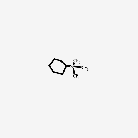 FC(F)(F)[Si](C1CCCCC1)(C(F)(F)F)C(F)(F)F